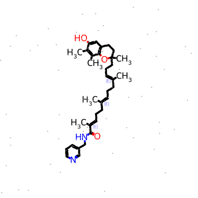 C/C(=C\CC/C(C)=C/CCC1(C)CCc2cc(O)c(C)c(C)c2O1)CC/C=C(\C)C(=O)NCc1cccnc1